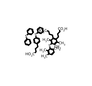 Cc1ccc(C)c(Sc2c(C)c(C)c(CCCC(=O)O)c(CCCC(=O)O)c2C)c1C.O=C(O)CCCc1ccc(Sc2cc[c]cc2)cc1.[c]1ccc(Sc2cc[c]cc2)cc1